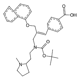 CN1CCCC1CCN(C/C(=C/c1ccc(C(=O)O)cc1)COc1cccc2ccccc12)C(=O)OC(C)(C)C